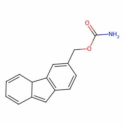 NC(=O)OCc1ccc2c(c1)C1C=CC=CC1=C2